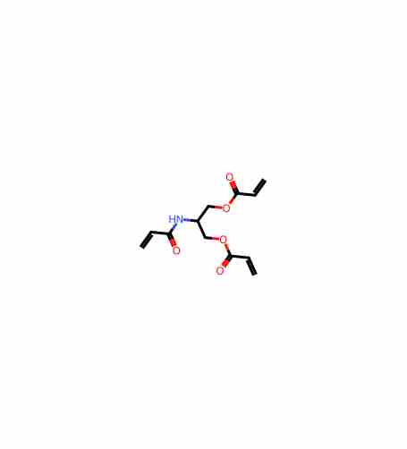 C=CC(=O)NC(COC(=O)C=C)COC(=O)C=C